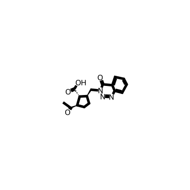 CC(=O)[C@@H]1CC[C@H](Cn2nnc3ccccc3c2=O)[C@H]1C(=O)O